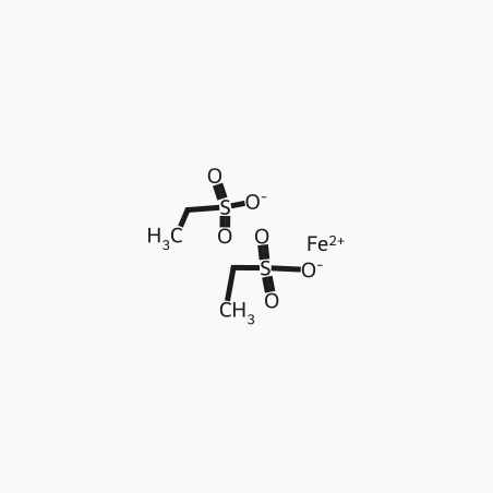 CCS(=O)(=O)[O-].CCS(=O)(=O)[O-].[Fe+2]